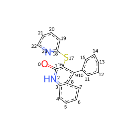 O=c1[nH]c2ccccc2c(-c2ccccc2)c1Sc1ccccn1